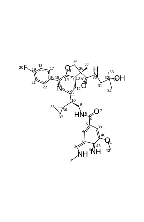 CN/C=C1/C=C(C(=O)NC[C@H](c2cc3c(c(-c4ccc(F)cc4)n2)OC[C@]3(C)C(=O)NCC(C)(C)O)C2CC2)C=C(OC)C1=N